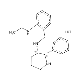 CCNc1ccccc1CN[C@H]1CCCN[C@H]1c1ccccc1.Cl